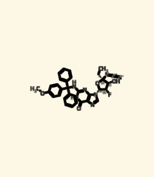 CC[C@@]1(N=[N+]=[N-])O[C@@H](n2cnc3c(=O)[nH]c(NC(c4ccccc4)(c4ccccc4)c4ccc(OC)cc4)nc32)[C@H](F)[C@@H]1O